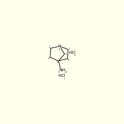 Cl.Cl.NC12CCN(CC1)C2